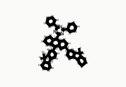 CC1(C)c2ccccc2-c2ccc(-c3ccc4c(-c5nc(-c6ccccc6)nc(-c6ccccc6)n5)c5ccccc5c(-c5ccc6c(c5)C(C)(C)c5ccccc5-6)c4c3)cc21